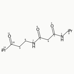 CC(C)NC(=O)CC(=O)NCCC(=O)C(C)C